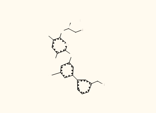 CC(C)C[C@@H](Oc1nc(Oc2cc(Cl)cc(-c3cccc(CN)c3)c2)c(F)cc1F)C(=O)O